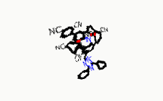 N#Cc1ccc(-c2ccc3c(c2)c2ccccc2n3-c2c(-c3ccc(C#N)cc3C#N)cc(-c3nc(-c4ccccc4)nc(-c4ccccc4)n3)cc2-c2ccc(C#N)cc2C#N)c(C#N)c1